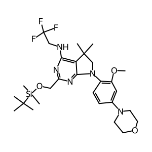 COc1cc(N2CCOCC2)ccc1N1CC(C)(C)c2c(NCC(F)(F)F)nc(CO[Si](C)(C)C(C)(C)C)nc21